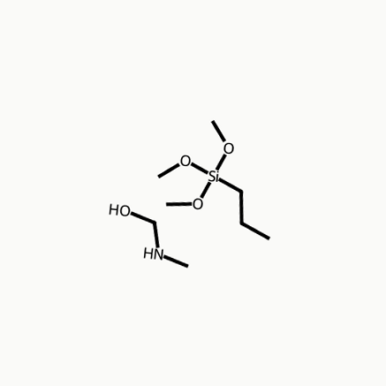 CCC[Si](OC)(OC)OC.CNCO